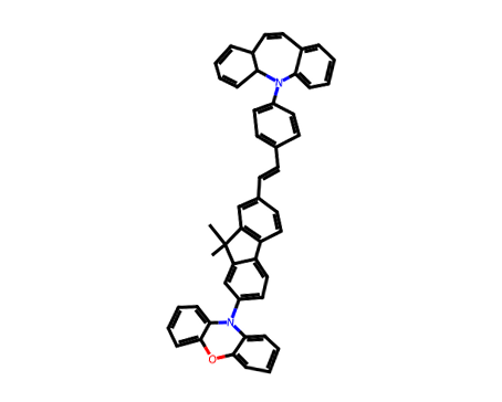 CC1(C)c2cc(/C=C/c3ccc(N4c5ccccc5C=CC5C=CC=CC54)cc3)ccc2-c2ccc(N3c4ccccc4Oc4ccccc43)cc21